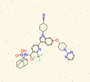 N#C[C@H]1CC[C@@H](n2cc(-c3ccc(C(=O)NC4(C(=O)O)C5CC6CC(C5)CC4C6)c(C(F)(F)F)n3)c3ccc(OC4CCN(c5ncccn5)CC4)cc32)CC1